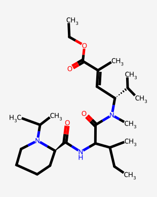 CCOC(=O)/C(C)=C/[C@H](C(C)C)N(C)C(=O)C(NC(=O)[C@H]1CCCCN1C(C)C)C(C)CC